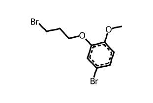 COc1ccc(Br)cc1OCCCBr